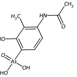 CC(=O)Nc1ccc([As](=O)(O)O)c(O)c1C